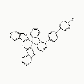 Clc1ccc(-c2ccc(-c3cccc4c3-c3ccccc3C43c4ccc5ccccc5c4Oc4c3ccc3ccccc43)cc2)cc1